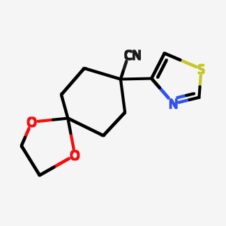 N#CC1(c2cscn2)CCC2(CC1)OCCO2